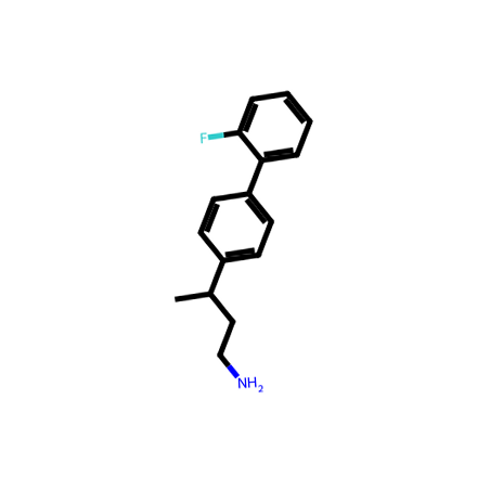 CC(CCN)c1ccc(-c2ccccc2F)cc1